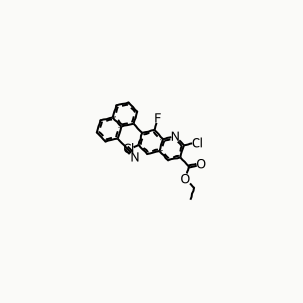 CCOC(=O)c1cc2cc(Cl)c(-c3cccc4cccc(C#N)c34)c(F)c2nc1Cl